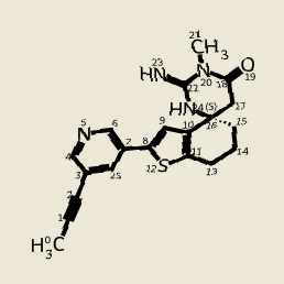 CC#Cc1cncc(-c2cc3c(s2)CCC[C@]32CC(=O)N(C)C(=N)N2)c1